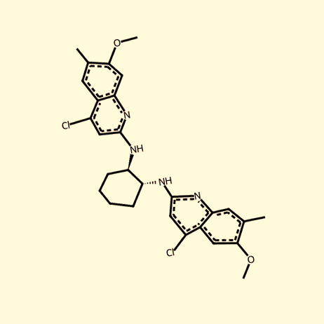 COc1cc2nc(N[C@@H]3CCCC[C@H]3Nc3cc(Cl)c4cc(OC)c(C)cc4n3)cc(Cl)c2cc1C